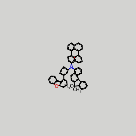 CC1(C)c2ccccc2-c2c1ccc1c(N(c3ccc(-c4cccc5cccc(-c6ccccc6)c45)cc3)c3cccc(-c4cccc5oc6ccccc6c45)c3)cccc21